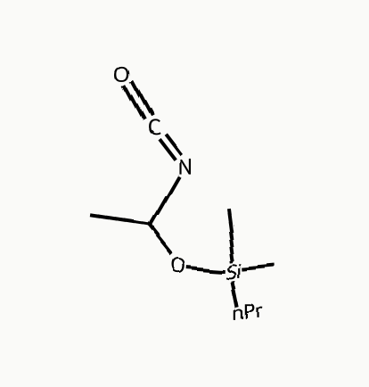 CCC[Si](C)(C)OC(C)N=C=O